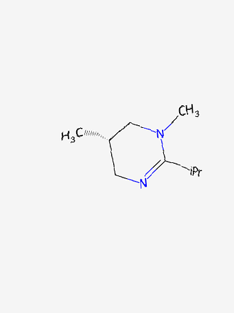 CC(C)C1=NC[C@H](C)CN1C